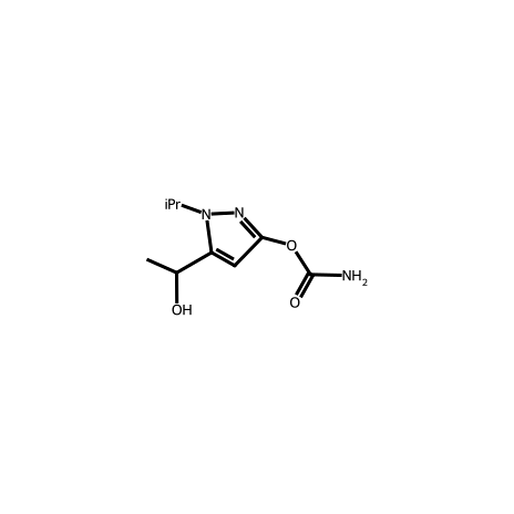 CC(O)c1cc(OC(N)=O)nn1C(C)C